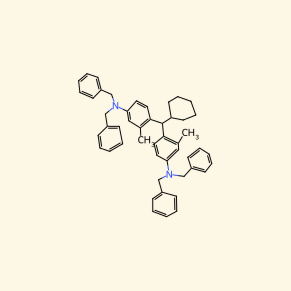 Cc1cc(N(Cc2ccccc2)Cc2ccccc2)ccc1C(c1ccc(N(Cc2ccccc2)Cc2ccccc2)cc1C)C1CCCCC1